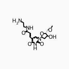 COC[C@H]1O[C@@H](n2cc(/C=C/C(=O)NCCN)c(=O)[nH]c2=O)CC1O